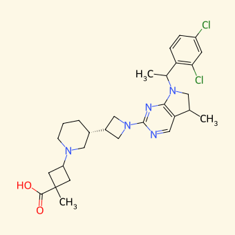 CC1CN(C(C)c2ccc(Cl)cc2Cl)c2nc(N3CC([C@H]4CCCN(C5CC(C)(C(=O)O)C5)C4)C3)ncc21